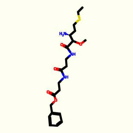 CCSCC[C@@H](N)C(OC)C(=O)NCCC(=O)NCCC(=O)OCc1ccccc1